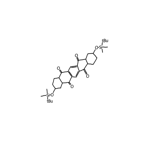 CC(C)(C)[Si](C)(C)OC1CCC2C(=O)c3cc4c(cc3C(=O)C2C1)C(=O)C1CCC(O[Si](C)(C)C(C)(C)C)CC1C4=O